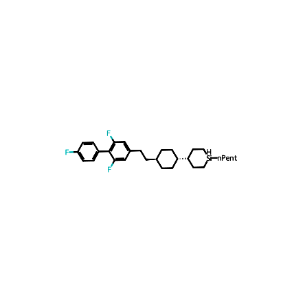 CCCCC[SiH]1CCC([C@H]2CC[C@H](CCc3cc(F)c(-c4ccc(F)cc4)c(F)c3)CC2)CC1